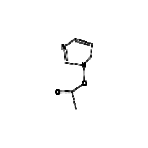 CC(=O)ON1C=NC=CC1